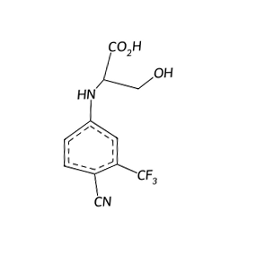 N#Cc1ccc(NC(CO)C(=O)O)cc1C(F)(F)F